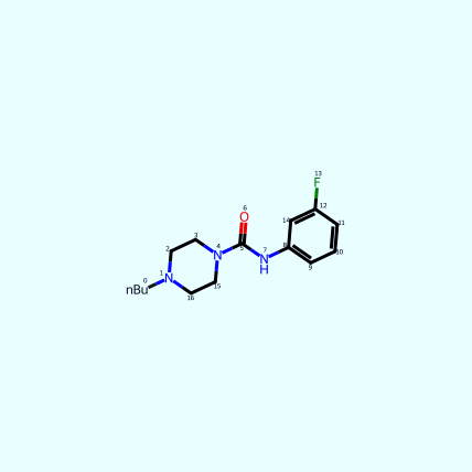 CCCCN1CCN(C(=O)Nc2cccc(F)c2)CC1